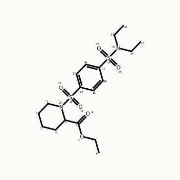 CCOC(=O)C1CCCCN1S(=O)(=O)c1ccc(S(=O)(=O)N(CC)CC)cc1